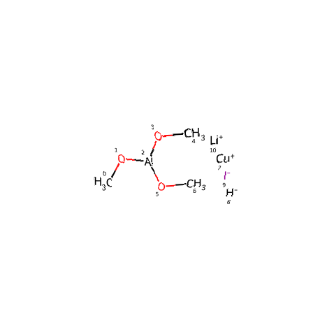 C[O][Al]([O]C)[O]C.[Cu+].[H-].[I-].[Li+]